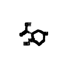 Cl.O=C(O)[C@@H]1CNCCN1